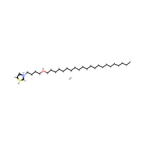 CCCCCCCCCCCCCCCCCCCCCCOCCCC[n+]1ccsc1.[I-]